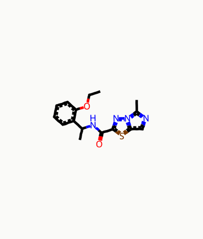 CCOc1ccccc1C(C)NC(=O)c1nn2c(C)ncc2s1